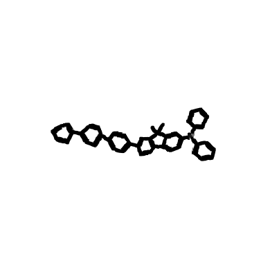 CC1(C)c2cc(-c3ccc(-c4ccc(-c5ccccc5)cc4)cc3)ccc2-c2ccc(N(c3ccccc3)c3ccccc3)cc21